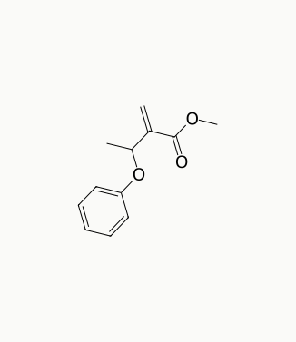 C=C(C(=O)OC)C(C)Oc1ccccc1